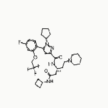 O=C(C[C@H](CCN1CCCCC1)NC(=O)c1cc(-c2ccc(F)cc2OCC(F)(F)F)n(C2CCCC2)n1)NC1CCC1